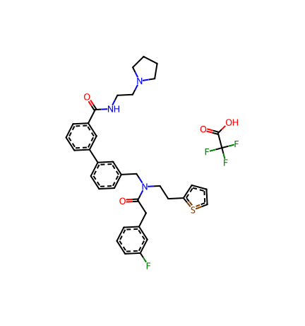 O=C(NCCN1CCCC1)c1cccc(-c2cccc(CN(CCc3cccs3)C(=O)Cc3cccc(F)c3)c2)c1.O=C(O)C(F)(F)F